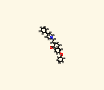 O=C1c2ccc(Oc3ccccc3)cc2CCC1CCN1CCC(c2ccccc2)CC1